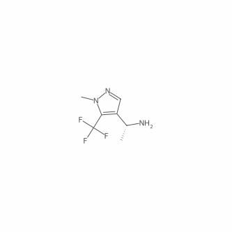 C[C@@H](N)c1cnn(C)c1C(F)(F)F